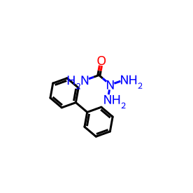 NC(=O)N(N)N.c1ccc(-c2ccccc2)cc1